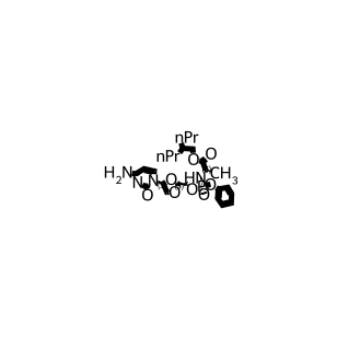 CCCC(CCC)COC(=O)[C@H](C)N[P@](=O)(OC[C@H]1OC[C@@H](n2ccc(N)nc2=O)O1)Oc1ccccc1